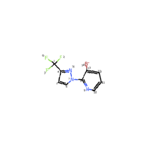 FC(F)(F)c1c[c]n(-c2ncccc2Br)n1